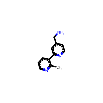 NCc1ccnc(-c2cccnc2C(F)(F)F)c1